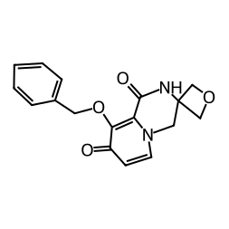 O=C1NC2(COC2)Cn2ccc(=O)c(OCc3ccccc3)c21